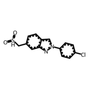 O=[SH](=O)Cc1ccc2cn(-c3ccc(Cl)cc3)nc2c1